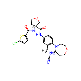 Cc1cc(NC(=O)[C@@]2(NC(=O)c3ccc(Cl)s3)CCOC2)ccc1N1CCOCC/C1=N\C#N